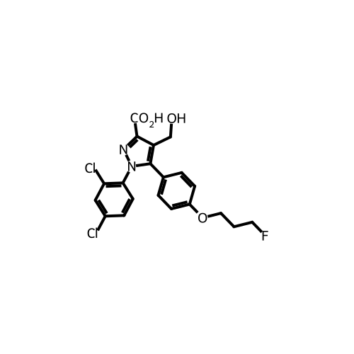 O=C(O)c1nn(-c2ccc(Cl)cc2Cl)c(-c2ccc(OCCCF)cc2)c1CO